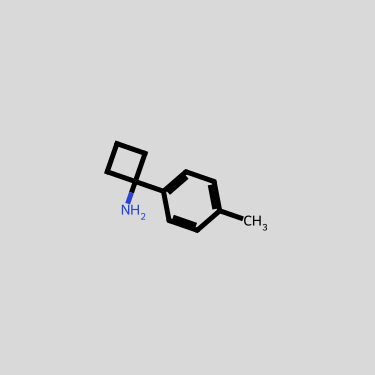 Cc1ccc(C2(N)CCC2)cc1